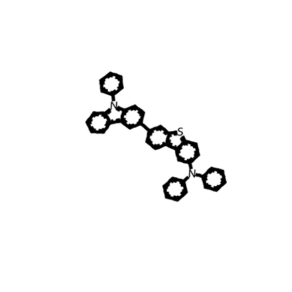 c1ccc(N(c2ccccc2)c2ccc3sc4cc(-c5ccc6c(c5)c5ccccc5n6-c5ccccc5)ccc4c3c2)cc1